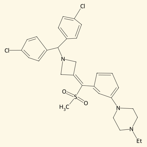 CCN1CCN(c2cccc(C(=C3CN(C(c4ccc(Cl)cc4)c4ccc(Cl)cc4)C3)S(C)(=O)=O)c2)CC1